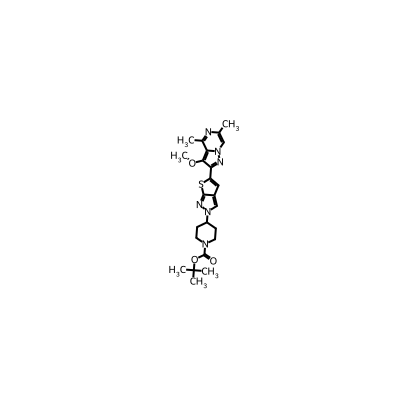 COc1c(-c2cc3cn(C4CCN(C(=O)OC(C)(C)C)CC4)nc3s2)nn2cc(C)nc(C)c12